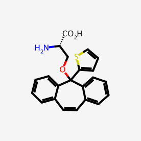 N[C@@H](COC1(c2cccs2)c2ccccc2C=Cc2ccccc21)C(=O)O